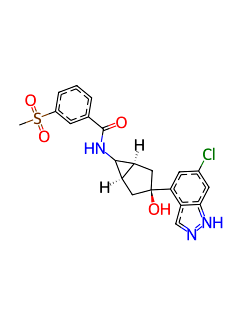 CS(=O)(=O)c1cccc(C(=O)NC2[C@H]3C[C@](O)(c4cc(Cl)cc5[nH]ncc45)C[C@@H]23)c1